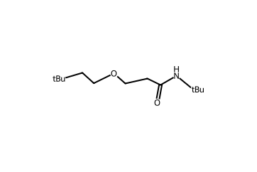 CC(C)(C)CCOCCC(=O)NC(C)(C)C